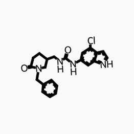 O=C(NCC1CCC(=O)N(Cc2ccccc2)C1)Nc1cc(Cl)c2cc[nH]c2c1